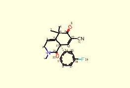 CN1CC=C2C(C)(C)C(=O)C(C#N)=C[C@@]2(c2cccc(F)c2)C1=O